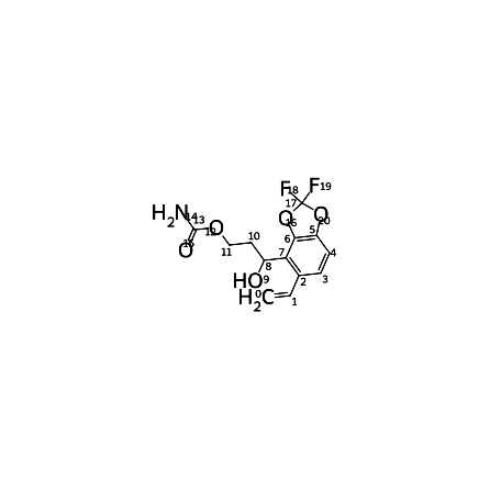 C=Cc1ccc2c(c1C(O)CCOC(N)=O)OC(F)(F)O2